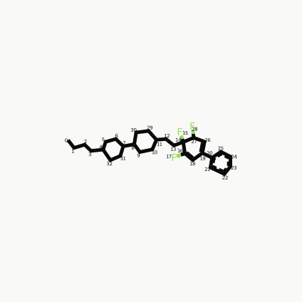 CCCCC1CCC(C2CCC(CCC3(F)C(F)=CC(c4ccccc4)=CC3F)CC2)CC1